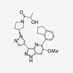 COc1cc2[nH]nc(-c3cnn([C@H]4CCN(C(=O)C(C)O)C4)c3)c2nc1-c1cccc2c1CCC2